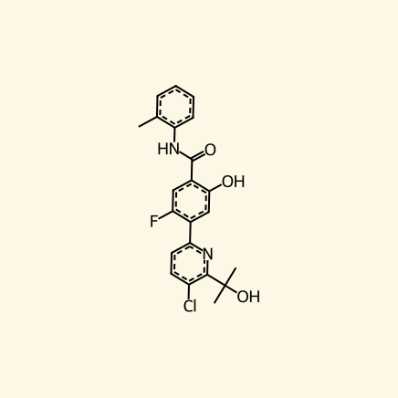 Cc1ccccc1NC(=O)c1cc(F)c(-c2ccc(Cl)c(C(C)(C)O)n2)cc1O